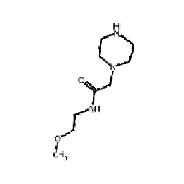 COCCNC(=O)CN1CCNCC1